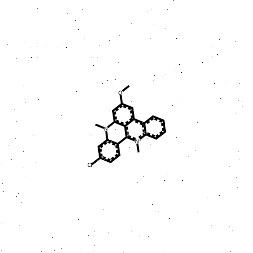 COc1cc2c3c([n+](C)c4ccccc4c3c1)-c1ccc(Cl)cc1N2C